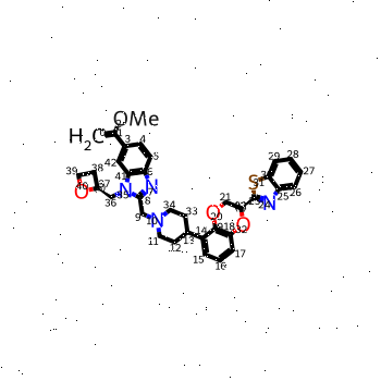 C=C(OC)c1ccc2nc(CN3CCC(c4cccc5c4OC[C@@H](c4nc6ccccc6s4)O5)CC3)n(C[C@@H]3CCO3)c2c1